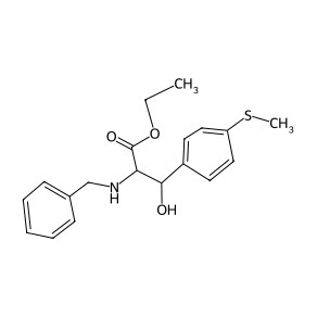 CCOC(=O)C(NCc1ccccc1)C(O)c1ccc(SC)cc1